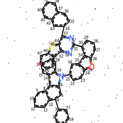 c1ccc(-c2cc3c(c4ccccc24)c2ccccc2n3-c2ccc3oc4cccc(-c5nc(-c6ccc7ccccc7c6)c6sc7ccccc7c6n5)c4c3c2)cc1